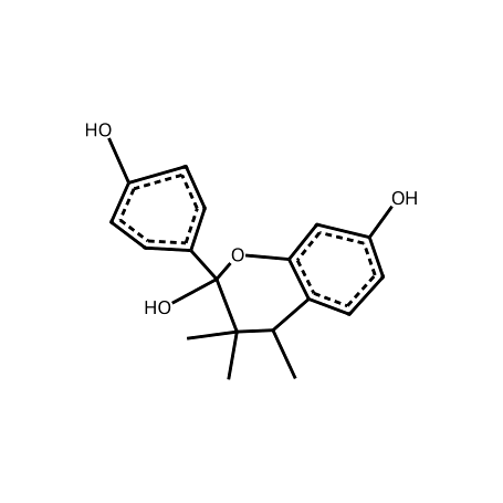 CC1c2ccc(O)cc2OC(O)(c2ccc(O)cc2)C1(C)C